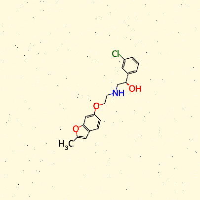 Cc1cc2ccc(OCCNC[C@H](O)c3cccc(Cl)c3)cc2o1